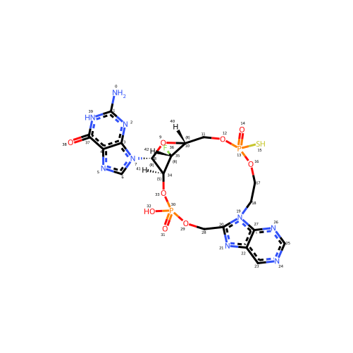 Nc1nc2c(ncn2[C@@H]2O[C@@H]3COP(=O)(S)OCCn4c(nc5cncnc54)COP(=O)(O)O[C@@H]2[C@@H]3F)c(=O)[nH]1